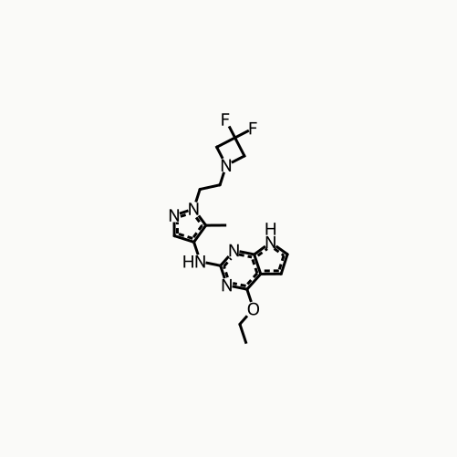 CCOc1nc(Nc2cnn(CCN3CC(F)(F)C3)c2C)nc2[nH]ccc12